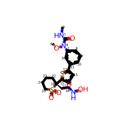 CNC(=O)N(OC)c1cccc(-c2ccc([C@@]3(CC(=O)NO)CCCCS3(=O)=O)s2)c1